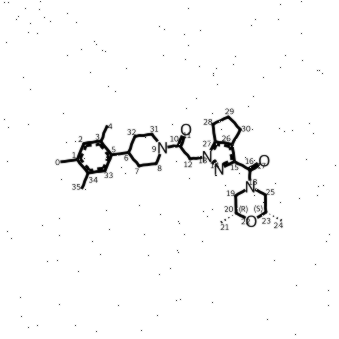 Cc1cc(C)c(C2CCN(C(=O)Cn3nc(C(=O)N4C[C@@H](C)O[C@@H](C)C4)c4c3CCC4)CC2)cc1C